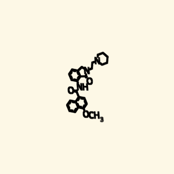 COc1ccc(C(=O)Nc2cccc3c2C(=O)N(CCN2CCCCC2)C3)c2ccccc12